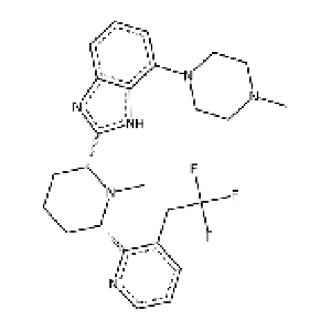 CN1CCN(c2cccc3nc([C@H]4CCC[C@@H](c5ncccc5CC(F)(F)F)N4C)[nH]c23)CC1